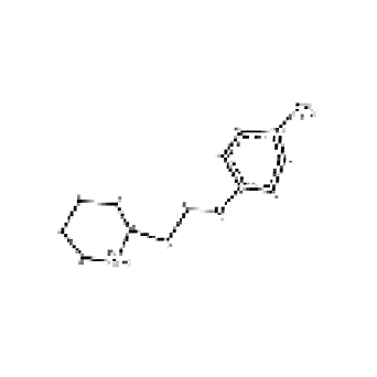 FC(F)(F)c1ccc(OCCC2CCCCN2)cc1